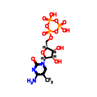 Nc1nc(=O)n([C@@H]2O[C@H](COP3(=O)OP(=O)(O)OP(=O)(O)O3)[C@H](O)[C@@H]2O)cc1C(F)(F)F